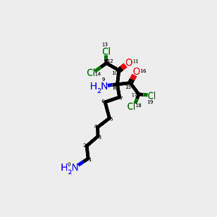 NCCCCCCCC(N)(C(=O)C(Cl)Cl)C(=O)C(Cl)Cl